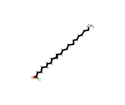 CCCCCCCCCCCCC=CCCCCCCCC(=O)Cl